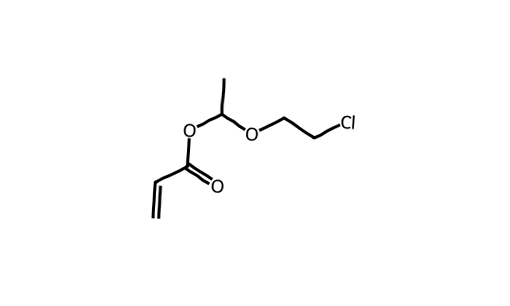 C=CC(=O)OC(C)OCCCl